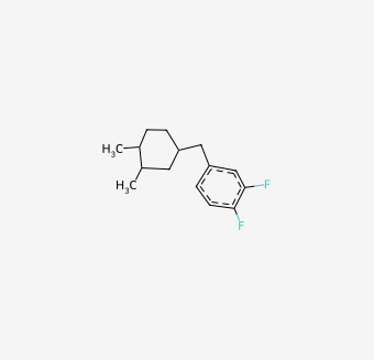 CC1CCC(Cc2ccc(F)c(F)c2)CC1C